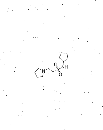 O=S(=O)(CCN1CCCC1)NC1C[CH]CC1